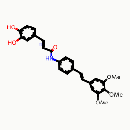 COc1cc(C=Cc2ccc(NC(=O)/C=C/c3ccc(O)c(O)c3)cc2)cc(OC)c1OC